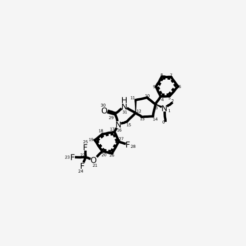 CN(C)[C@]1(c2ccccc2)CC[C@@]2(CC1)CN(c1ccc(OC(F)(F)F)cc1F)C(=O)N2